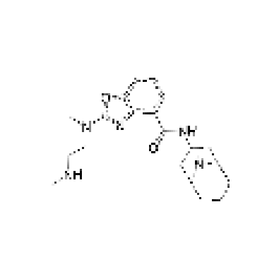 CNCCN(C)c1nc2c(C(=O)NC3CC4CCCC(C3)N4C)cccc2o1